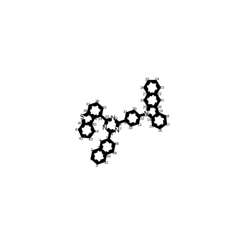 c1ccc2cc(-c3nc(-c4ccc(-n5c6ccccc6c6cc7ccccc7cc65)cc4)nc(-c4cccc5sc6ccccc6c45)n3)ccc2c1